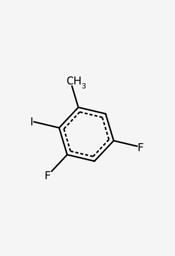 Cc1cc(F)cc(F)c1I